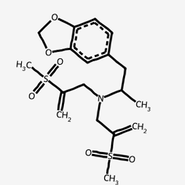 C=C(CN(CC(=C)S(C)(=O)=O)C(C)Cc1ccc2c(c1)OCO2)S(C)(=O)=O